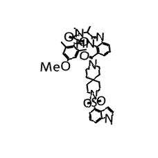 COc1cc(C)c(S(=O)(=O)N(C)C(C)c2nc3cccc(C(=O)N4CCC5(CC4)CCN(S(=O)(=O)c4cccc6c4ccn6C)CC5)c3[nH]2)c(C)c1